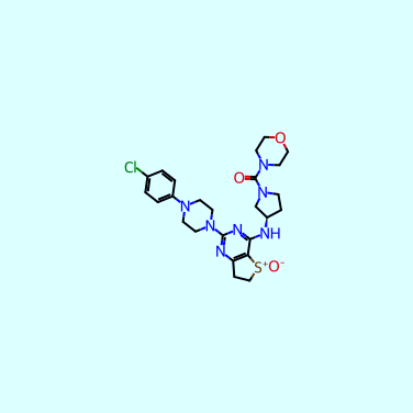 O=C(N1CCOCC1)N1CC[C@@H](Nc2nc(N3CCN(c4ccc(Cl)cc4)CC3)nc3c2[S+]([O-])CC3)C1